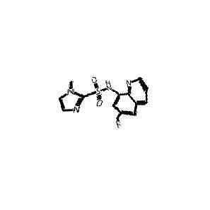 Cn1ccnc1S(=O)(=O)Nc1cc(F)cc2cccnc12